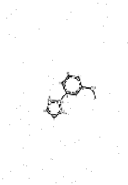 COc1[c]c(-n2nccn2)ccc1